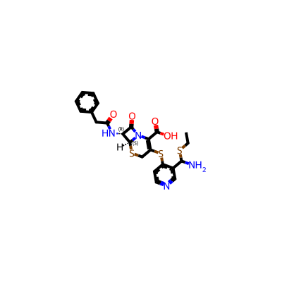 CCSC(N)c1cnccc1SC1=C(C(=O)O)N2C(=O)[C@@H](NC(=O)Cc3ccccc3)[C@@H]2SC1